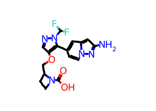 Nc1cc2cc(-c3c(OCC4CCN4C(=O)O)cnn3C(F)F)ccn2n1